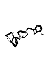 Clc1cccc2c1CC2CN1CCN(c2cccc3c2OCCO3)CC1